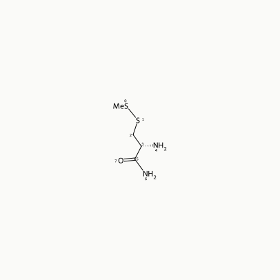 CSSC[C@H](N)C(N)=O